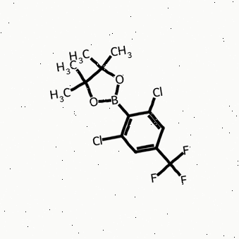 CC1(C)OB(c2c(Cl)cc(C(F)(F)F)cc2Cl)OC1(C)C